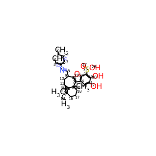 C=C\C=C/C(=C\C)/N=C/C1CC[C@@H]2C(C)(C)CCC[C@@]2(C)c2c1oc1c(S(=O)O)c(O)c(O)cc21